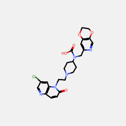 O=C(O)N(Cc1cc2c(cn1)OCCO2)C1CCN(CCn2c(=O)ccc3ncc(Cl)cc32)CC1